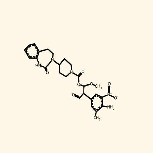 COC(OC(=O)N1CCC(N2CCc3ccccc3NC2=O)CC1)[C@H](C=O)c1cc(C)c(N)c([N+](=O)[O-])c1